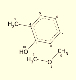 COC.Cc1ccccc1O